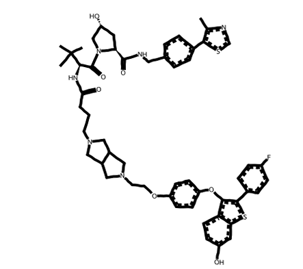 Cc1ncsc1-c1ccc(CNC(=O)[C@@H]2C[C@@H](O)CN2C(=O)[C@@H](NC(=O)CCCN2CC3CN(CCOc4ccc(Oc5c(-c6ccc(F)cc6)sc6cc(O)ccc56)cc4)CC3C2)C(C)(C)C)cc1